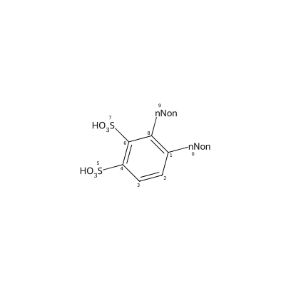 CCCCCCCCCc1ccc(S(=O)(=O)O)c(S(=O)(=O)O)c1CCCCCCCCC